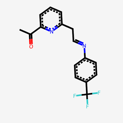 CC(=O)c1cccc(CC=Nc2ccc(C(F)(F)F)cc2)n1